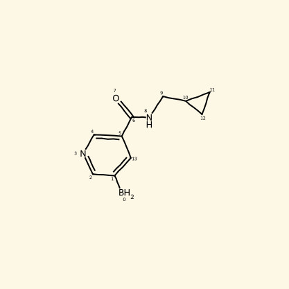 Bc1cncc(C(=O)NCC2CC2)c1